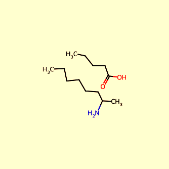 CCCCC(=O)O.CCCCCCC(C)N